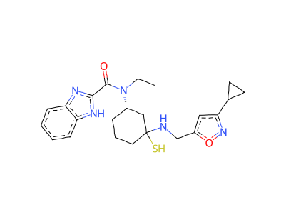 CCN(C(=O)c1nc2ccccc2[nH]1)[C@H]1CCCC(S)(NCc2cc(C3CC3)no2)C1